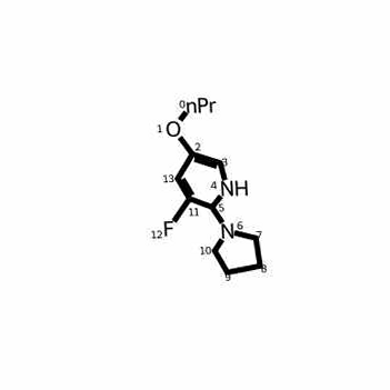 CCCOC1=CNC(N2CCCC2)C(F)=C1